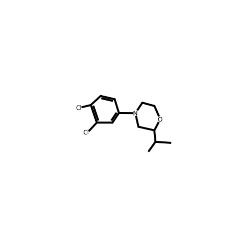 CC(C)C1CN(c2ccc(Cl)c(Cl)c2)CCO1